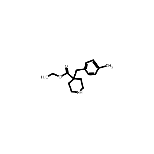 CCOC(=O)C1(Cc2ccc(C)cc2)CCNCC1